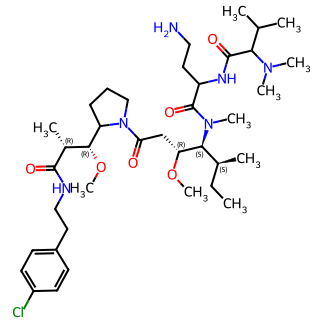 CC[C@H](C)[C@@H]([C@@H](CC(=O)N1CCCC1[C@H](OC)[C@@H](C)C(=O)NCCc1ccc(Cl)cc1)OC)N(C)C(=O)C(CCN)NC(=O)C(C(C)C)N(C)C